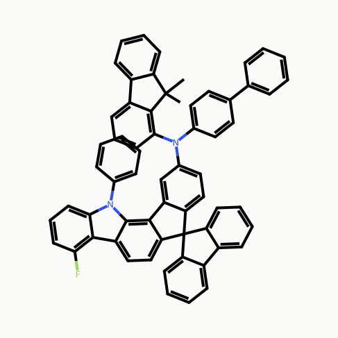 CC1(C)c2ccccc2-c2cccc(N(c3ccc(-c4ccccc4)cc3)c3ccc4c(c3)-c3c(ccc5c6c(F)cccc6n(-c6ccccc6)c35)C43c4ccccc4-c4ccccc43)c21